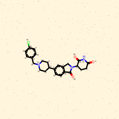 O=C1CCC(N2Cc3cc(C4CCN(Cc5ccc(Cl)cc5)CC4)ccc3C2=O)C(=O)N1